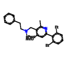 CCCCCN(CCc1ccccc1)Cc1c(OC)cc(-c2c(CC)cccc2CC)nc1C